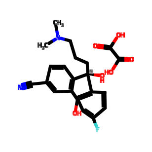 CN(C)CCC[C@](O)(c1ccc(F)cc1)c1ccc(C#N)cc1CO.O=C(O)C(=O)O